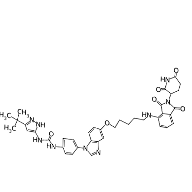 CC(C)(C)c1cc(NC(=O)Nc2ccc(-n3cnc4cc(OCCCCCNc5cccc6c5C(=O)N(C5CCC(=O)NC5=O)C6=O)ccc43)cc2)[nH]n1